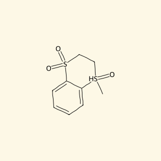 C[SH]1(=O)CCS(=O)(=O)c2ccccc21